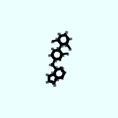 Cc1cc(Oc2nccc3occc23)ccc1-c1c(C)cncc1C